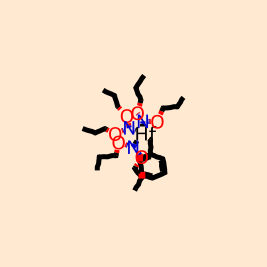 CCCO[N](OCCC)[Hf]([CH2]c1ccccc1)([N](OCCC)OCCC)[N](OCCC)OCCC